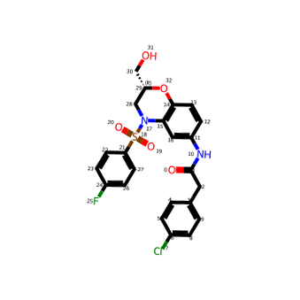 O=C(Cc1ccc(Cl)cc1)Nc1ccc2c(c1)N(S(=O)(=O)c1ccc(F)cc1)C[C@H](CO)O2